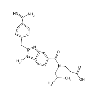 CC(C)CN(CCC(=O)O)C(=O)c1ccc2c(c1)nc(Cc1ccc(C(=N)N)cc1)n2C